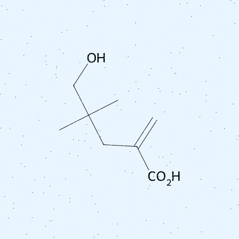 C=C(CC(C)(C)CO)C(=O)O